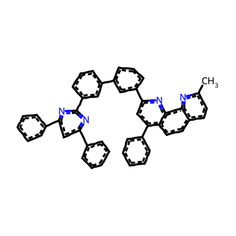 Cc1ccc2ccc3c(-c4ccccc4)cc(-c4cccc(-c5cccc(-c6nc(-c7ccccc7)cc(-c7ccccc7)n6)c5)c4)nc3c2n1